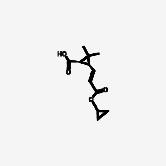 CC1(C)[C@H](C(=O)O)[C@@H]1C=CC(=O)OC1CC1